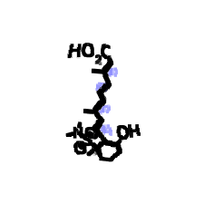 CC(/C=C/C1=C(O)CCC[C@]1(C)S(=O)(=O)N(C)C)=C\C=C\C(C)=C\C(=O)O